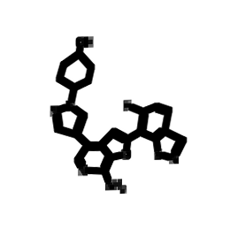 Nc1ncc(-c2cnn(C3CCC(O)CC3)c2)c2cc(-c3c(F)ccc4cnsc34)oc12